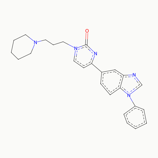 O=c1nc(-c2ccc3c(c2)ncn3-c2ccccc2)ccn1CCCN1CCCCC1